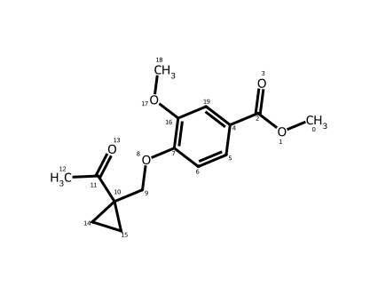 COC(=O)c1ccc(OCC2(C(C)=O)CC2)c(OC)c1